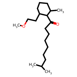 COCCC1CCCC(C)C1C(=O)CCCCCCC(C)C